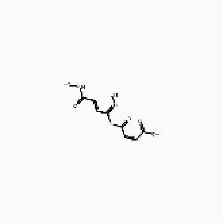 O=C(O)/C=C\C(=O)OC(/C=C/C(=O)NO)=NO